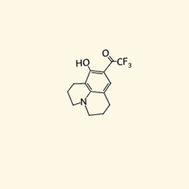 O=C(c1cc2c3c(c1O)CCCN3CCC2)C(F)(F)F